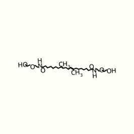 C/C(=C\CC/C=C(\C)CCCCCCC(=O)NCCOCCO)CCCCCCC(=O)NCCOCCO